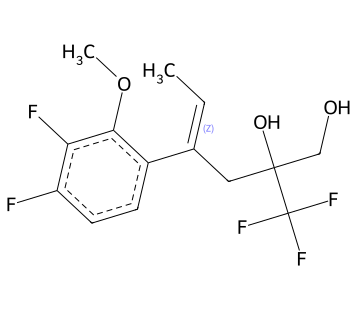 C/C=C(/CC(O)(CO)C(F)(F)F)c1ccc(F)c(F)c1OC